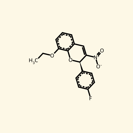 CCOc1cccc2c1O[C@H](c1ccc(F)cc1)C([N+](=O)[O-])=C2